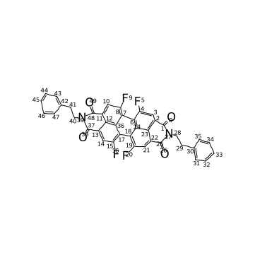 O=C1c2cc(F)c3c4c(F)cc5c6c(cc(F)c(c7c(F)cc(c2c37)C(=O)N1CCc1ccccc1)c64)C(=O)N(CCc1ccccc1)C5=O